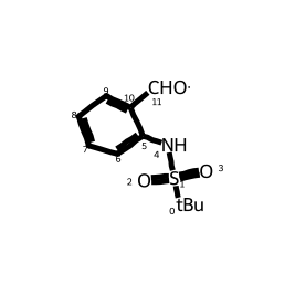 CC(C)(C)S(=O)(=O)Nc1ccccc1[C]=O